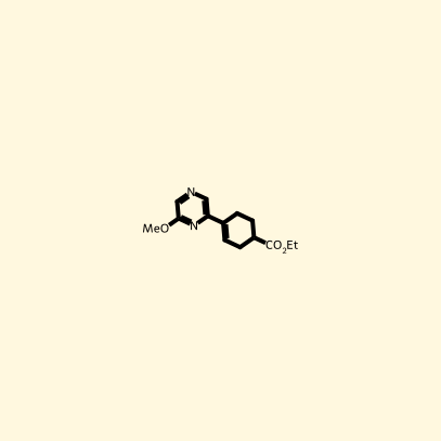 CCOC(=O)C1CC=C(c2cncc(OC)n2)CC1